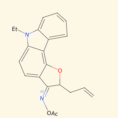 C=CCC1Oc2c(ccc3c2c2ccccc2n3CC)/C1=N/OC(C)=O